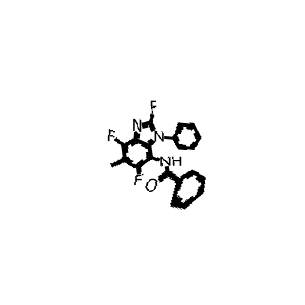 Cc1c(F)c(NC(=O)c2ccccc2)c2c(nc(F)n2-c2ccccc2)c1F